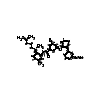 CNc1nccc(-c2cccnc2Oc2cc(F)cc(C(=O)Nc3cc(C(F)(F)F)ccc3N(C)CCCN(C)C)c2)n1